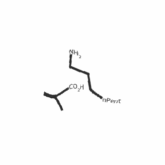 C=C(C)C(=O)O.CCCCCCCCN